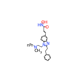 CCCN(C)CCn1c(CCc2ccccc2)nc2cc(/C=C/C(=O)NO)ccc21